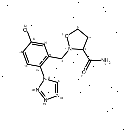 NC(=O)C1CCON1Cc1cc(Cl)ccc1-n1cnnn1